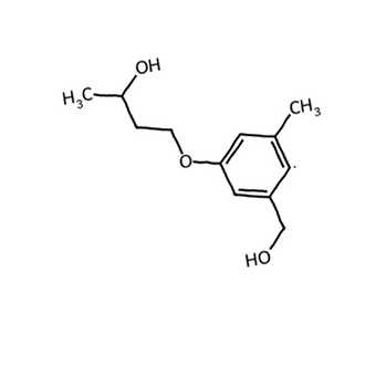 Cc1[c]c(CO)cc(OCCC(C)O)c1